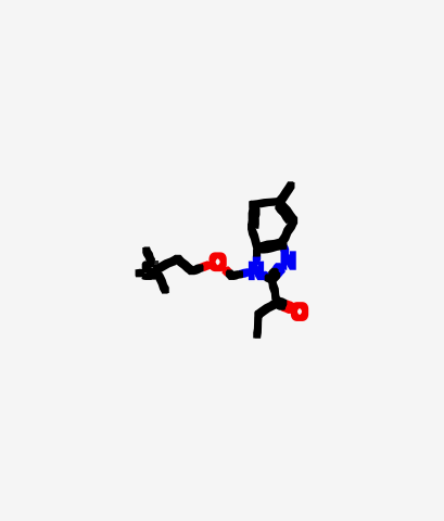 CCC(=O)c1nc2cc(C)ccc2n1COCC[Si](C)(C)C